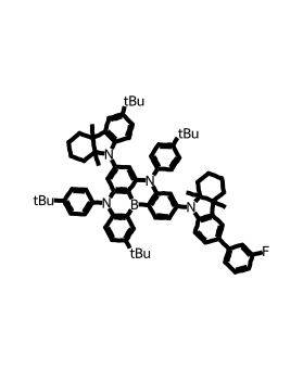 CC(C)(C)c1ccc(N2c3ccc(C(C)(C)C)cc3B3c4ccc(N5c6ccc(-c7cccc(F)c7)cc6C6(C)CCCCC56C)cc4N(c4ccc(C(C)(C)C)cc4)c4cc(N5c6ccc(C(C)(C)C)cc6C6(C)CCCCC56C)cc2c43)cc1